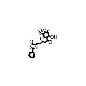 COSc1ccc(O)c2c1OC(CC=C1N=C(c3ccccc3)SC1=O)CC2=O